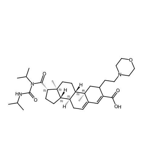 CC(C)NC(=O)N(C(=O)[C@H]1CC[C@H]2[C@@H]3CC=C4C=C(C(=O)O)C(CCN5CCOCC5)C[C@]4(C)[C@H]3CC[C@]12C)C(C)C